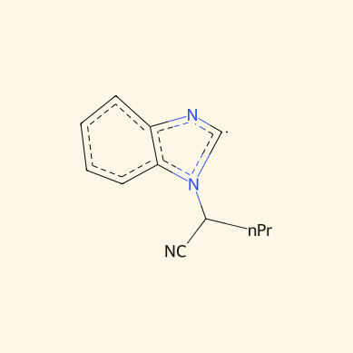 CCCC(C#N)n1[c]nc2ccccc21